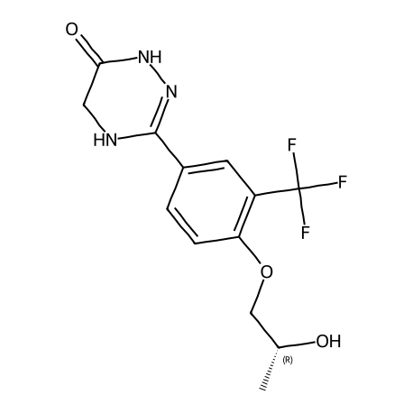 C[C@@H](O)COc1ccc(C2=NNC(=O)CN2)cc1C(F)(F)F